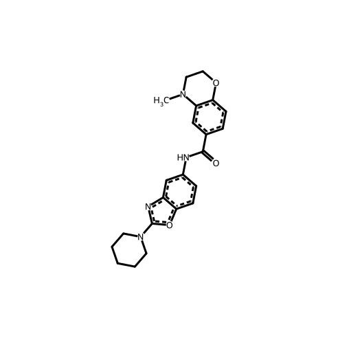 CN1CCOc2ccc(C(=O)Nc3ccc4oc(N5CCCCC5)nc4c3)cc21